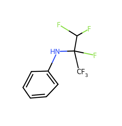 FC(F)C(F)(Nc1ccccc1)C(F)(F)F